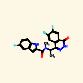 CC(c1n[nH]c(=O)c2cc(F)c(F)cc12)N(C)C(=O)c1cc2cc(F)ccc2[nH]1